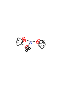 CN(CCCCO[Si](c1ccccc1)(c1ccccc1)C(C)(C)C)C(CCCCCOC(=O)C1CCCCCCCCCCCCCC1)CCCCCOC(=O)C1CCCCCCCCCCCCCC1